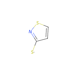 [S]c1ccsn1